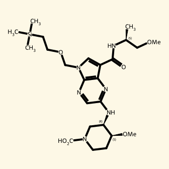 COC[C@H](C)NC(=O)c1cn(COCC[Si](C)(C)C)c2ncc(N[C@@H]3CN(C(=O)O)CC[C@@H]3OC)nc12